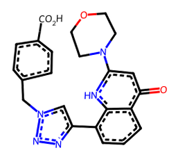 O=C(O)c1ccc(Cn2cc(-c3cccc4c(=O)cc(N5CCOCC5)[nH]c34)nn2)cc1